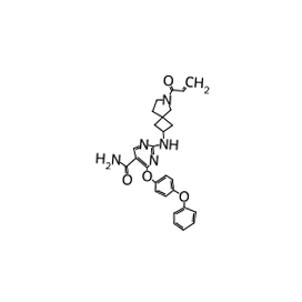 C=CC(=O)N1CCC2(CC(Nc3ncc(C(N)=O)c(Oc4ccc(Oc5ccccc5)cc4)n3)C2)C1